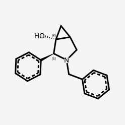 O[C@]12CC1CN(Cc1ccccc1)[C@H]2c1ccccc1